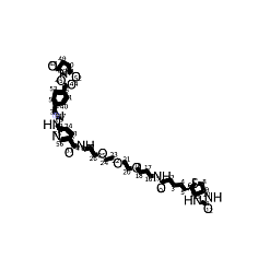 O=C(CCCC[C@H]1SCC2NC(=O)NC21)NCCCOCCOCCOCCCNC(=O)c1ccc(N/N=C/c2ccc(C(=O)ON3C(=O)CCC3=O)cc2)nc1